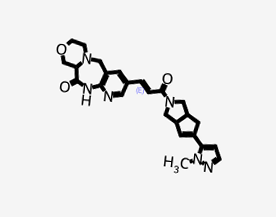 Cn1nccc1C1=CC2CN(C(=O)/C=C/c3cnc4c(c3)CN3CCOCC3C(=O)N4)CC2C1